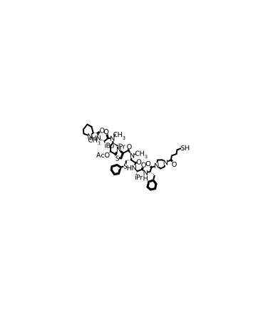 CC[C@H](C)[C@H](NC(=O)[C@H]1CCCCN1C)C(=O)N(C)[C@H](C[C@@H](OC(C)=O)c1nc(C(=O)N(C)[C@@H](CSc2ccccc2)C(=O)N[C@H](C(=O)N[C@@H](Cc2ccccc2)C(=O)N2CCN(C(=O)CCCS)CC2)C(C)C)cs1)C(C)C